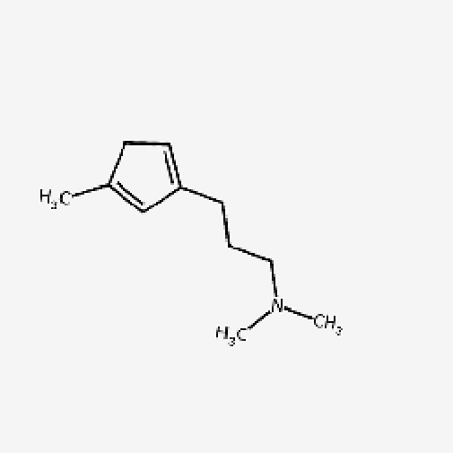 CC1=CC(CCCN(C)C)=CC1